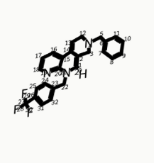 [2H]C1=C2CN(Cc3ccccc3)CC=C2c2cccnc2N1Cc1ccc(C(F)(F)F)cc1